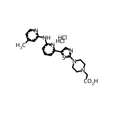 Cc1ccnc(Nc2cccc(-c3cnc(N4CCN(CC(=O)O)CC4)s3)n2)c1.Cl.Cl